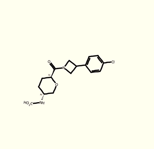 O=C(O)N[C@@H]1CC[C@@H](C(=O)N2CC(c3ccc(Cl)cc3)C2)OC1